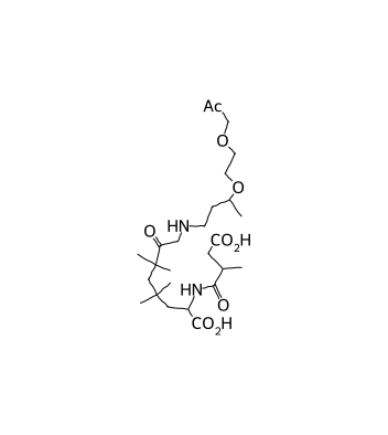 CC(=O)COCCOC(C)CCNCC(=O)C(C)(C)CC(C)(C)CC(NC(=O)C(C)CC(=O)O)C(=O)O